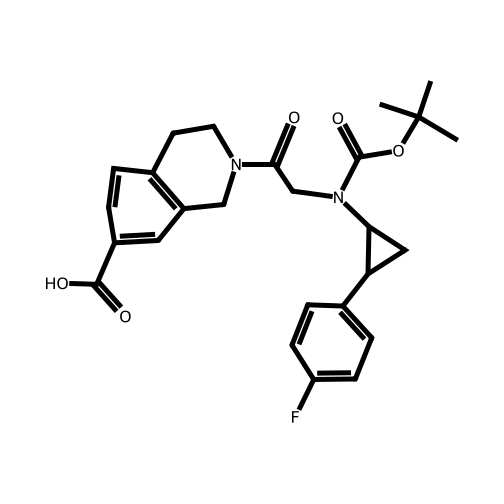 CC(C)(C)OC(=O)N(CC(=O)N1CCc2ccc(C(=O)O)cc2C1)C1CC1c1ccc(F)cc1